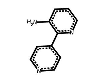 Nc1cccnc1-c1ccncc1